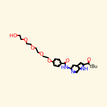 CC(C)(C)C(=O)c1cc2cc(NC(=O)c3ccc(OCCOCCOCCOCCO)cc3)ncc2[nH]1